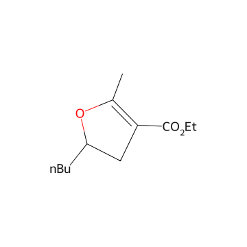 CCCCC1CC(C(=O)OCC)=C(C)O1